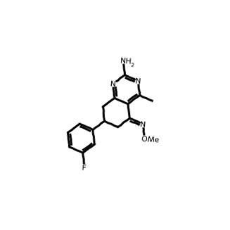 CON=C1CC(c2cccc(F)c2)Cc2nc(N)nc(C)c21